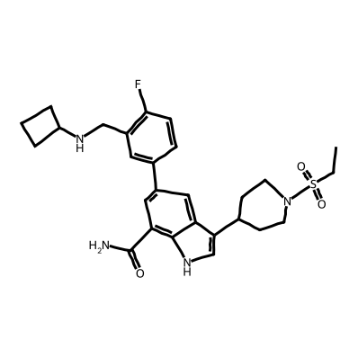 CCS(=O)(=O)N1CCC(c2c[nH]c3c(C(N)=O)cc(-c4ccc(F)c(CNC5CCC5)c4)cc23)CC1